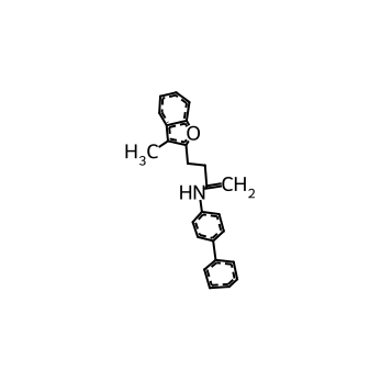 C=C(CCc1oc2ccccc2c1C)Nc1ccc(-c2ccccc2)cc1